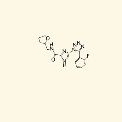 O=C(NCC1CCCO1)c1nc(-n2nnnc2-c2ccccc2F)c[nH]1